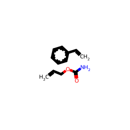 C=CCOC(N)=O.C=Cc1ccccc1